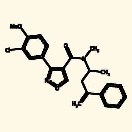 C=C(CC(C)N(C)C(=O)c1conc1-c1ccc(OC)c(Cl)c1)c1ccccc1